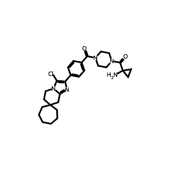 NC1(C(=O)N2CCN(C(=O)c3ccc(-c4nc5n(c4Cl)CCC4(CCCCCC4)C5)cc3)CC2)CC1